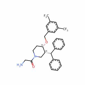 NCC(=O)N1CC[C@H](OCc2cc(C(F)(F)F)cc(C(F)(F)F)c2)[C@H](C(c2ccccc2)c2ccccc2)C1